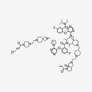 C=CC(=O)N1CCC2CN(CCN3CCC(CN4CCC56CC(C(C)N(C(=O)c7cc(F)ccc7Oc7cncnc7N7CC[C@@H](CN8CC9(CCN(CCN%10CCN(C(=O)/C=C/COC)CC%10)CC9)C8)C7)C(C)C5C4)N(c4ncncc4Oc4ccc(F)cc4C(=O)N(CC)C(C)C)C6)CC3)C[C@H]21